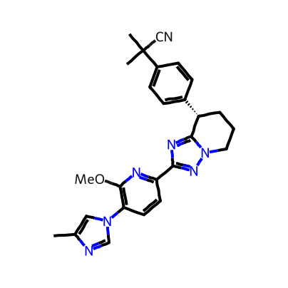 COc1nc(-c2nc3n(n2)CCC[C@H]3c2ccc(C(C)(C)C#N)cc2)ccc1-n1cnc(C)c1